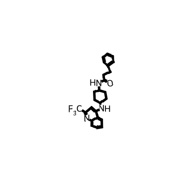 O=C(CCc1ccccc1)NC1CCC(Nc2cc(C(F)(F)F)nc3ccccc23)CC1